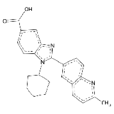 Cc1ccc2cc(-c3nc4cc(C(=O)O)ccc4n3C3CCCCC3)ccc2n1